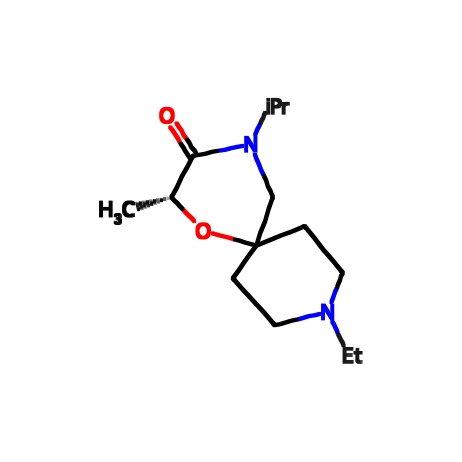 CCN1CCC2(CC1)CN(C(C)C)C(=O)[C@@H](C)O2